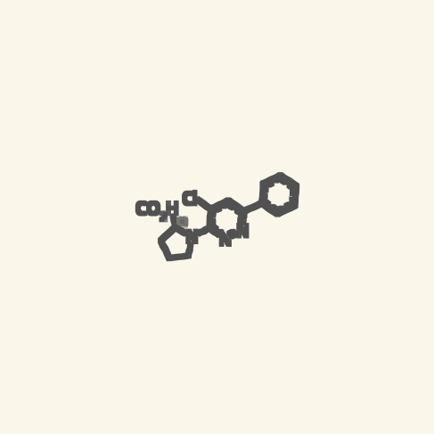 O=C(O)[C@@H]1CCCN1c1nnc(-c2ccccc2)cc1Cl